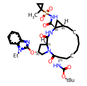 CCn1c(O[C@@H]2C[C@H]3C(=O)N[C@]4(C(=O)NS(=O)(=O)C5(C)CC5)C[C@H]4CCCCCCC[C@H](NC(=O)OC(C)(C)C)C(=O)N3C2)nc2ccccc21